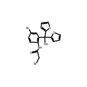 O=C(CBr)Nc1ccc(Br)cc1C(O)(c1cccs1)c1cccs1